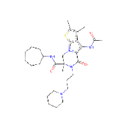 CC(=O)Nc1c2n(c3sc(C)c(C)c13)CC(C)(C(=O)NC1CCCCCC1)N(CCCN1CCCCC1)C2=O